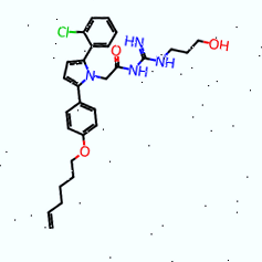 C=CCCCCOc1ccc(-c2ccc(-c3ccccc3Cl)n2CC(=O)NC(=N)NCCCO)cc1